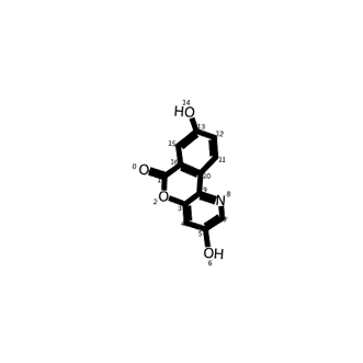 O=c1oc2cc(O)cnc2c2ccc(O)cc12